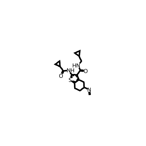 C=NC1CCc2sc(NC(=O)C3CC3)c(C(=O)NCC3CC3)c2C1